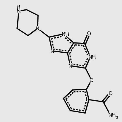 NC(=O)c1ccccc1Oc1nc2nc(N3CCNCC3)[nH]c2c(=O)[nH]1